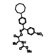 CCC(C)[C@H](NC(=O)OC(C)(C)C)C(=O)O/N=C(/c1ccc(C2CCCCCCC2)cc1)c1ccc([N+](=O)[O-])cc1